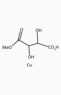 COC(=O)C(O)C(O)C(=O)O.[Cu]